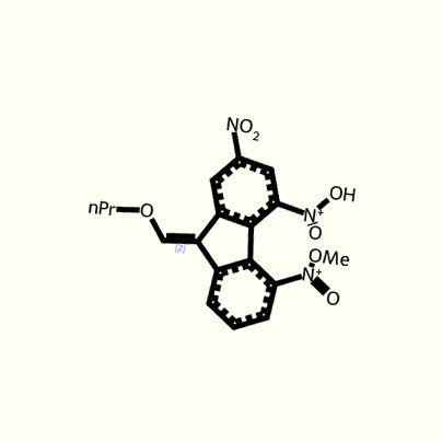 CCCO/C=C1\c2cc([N+](=O)[O-])cc([N+](=O)O)c2-c2c1cccc2[N+](=O)OC